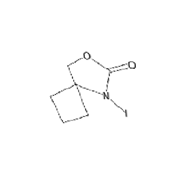 O=C1OCC2(CCC2)N1I